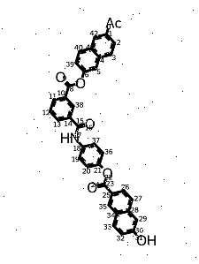 CC(=O)c1ccc2cc(OC(=O)c3cccc(C(=O)Nc4ccc(OC(=O)c5ccc6cc(O)ccc6c5)cc4)c3)ccc2c1